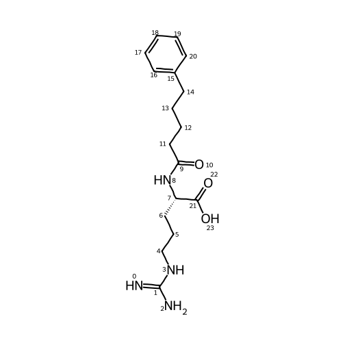 N=C(N)NCCC[C@H](NC(=O)CCCCc1ccccc1)C(=O)O